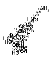 CC(=O)NC1C(O[C@@H]2OC(C(=O)O)[C@@H](O)C(O)C2O[C@@H]2OC(C)[C@@H](O)C(O)[C@@H]2NC(C)=O)[C@H](O)C(C)O[C@H]1OC1C(NC(C)=O)[C@H](OCCNC(=O)CCCCCN)OC2O[C@@H]21